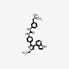 CCn1cc(-c2ccnc3[nH]ccc23)c(C2=CCC(NC(=O)Nc3cccc(CN(C)C)c3)C=C2)n1